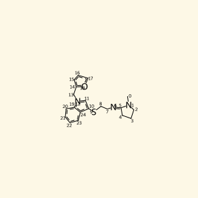 CN1CCC/C1=N\CCSc1cn(Cc2ccco2)c2ccccc12